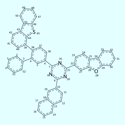 c1ccc(-c2cc(-c3nc(-c4ccc5ccccc5c4)nc(-c4ccc5c(c4)oc4ccccc45)n3)ccc2-c2cccc3c2sc2ccccc23)cc1